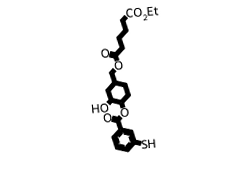 CCOC(=O)CCCCC(=O)OCC1CCC(OC(=O)c2cccc(S)c2)C(O)C1